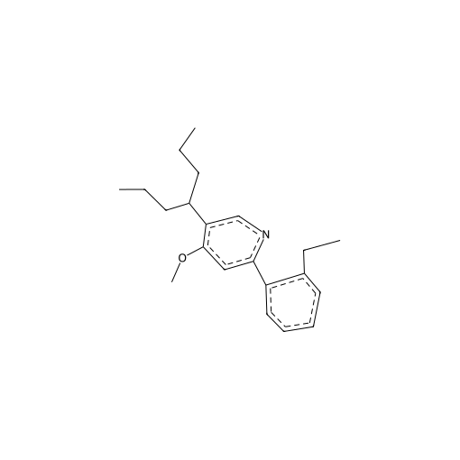 CCCC(CCC)c1cnc(-c2ccccc2CC)cc1OC